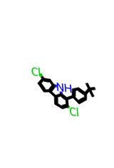 CC(C)(C)c1ccc(-c2c(Cl)ccc3c2[nH]c2cc(Cl)ccc23)cc1